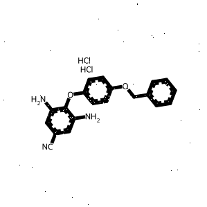 Cl.Cl.N#Cc1cc(N)c(Oc2ccc(OCc3ccccc3)cc2)c(N)c1